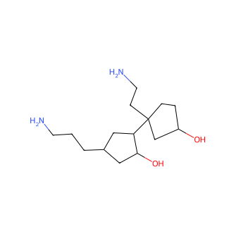 NCCCC1CC(O)C(C2(CCN)CCC(O)C2)C1